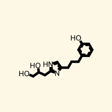 OCC(O)Cc1nc(CCCc2cccc(O)c2)c[nH]1